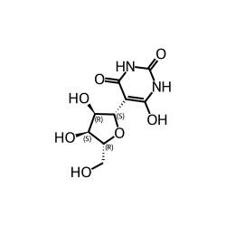 O=c1[nH]c(O)c([C@@H]2O[C@H](CO)[C@@H](O)[C@H]2O)c(=O)[nH]1